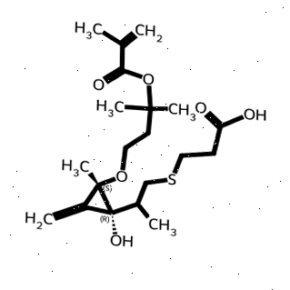 C=C(C)C(=O)OC(C)(C)CCO[C@@]1(C)C(=C)[C@]1(O)C(C)CSCCC(=O)O